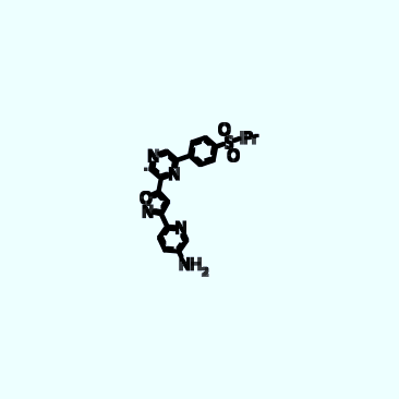 CC(C)S(=O)(=O)c1ccc(-c2cn[c]c(-c3cc(-c4ccc(N)cn4)no3)n2)cc1